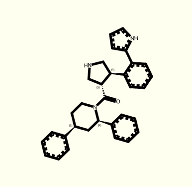 O=C([C@@H]1CNC[C@H]1c1ccccc1-c1ccc[nH]1)N1CC[C@H](c2ccccc2)C[C@@H]1c1ccccc1